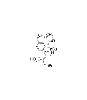 C=CC(=O)OCCCC.C=Cc1ccccc1.CC(C)CC(=CC(=O)O)C(=O)O